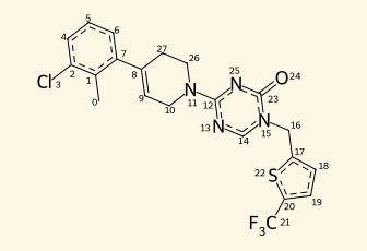 Cc1c(Cl)cccc1C1=CCN(c2ncn(Cc3ccc(C(F)(F)F)s3)c(=O)n2)CC1